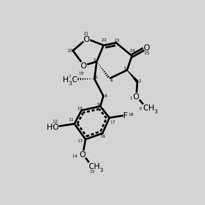 COC[C@H]1C[C@]2([C@@H](C)Cc3cc(O)c(OC)cc3F)OCOC2=CC1=O